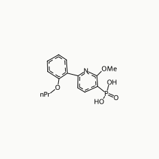 CCCOc1ccccc1-c1ccc(P(=O)(O)O)c(OC)n1